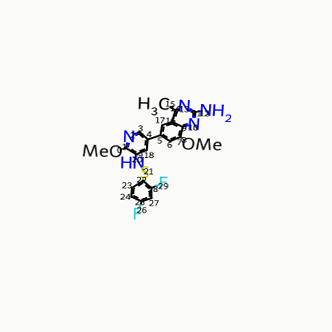 COc1ncc(-c2cc(OC)c3nc(N)nc(C)c3c2)cc1NSc1ccc(F)cc1F